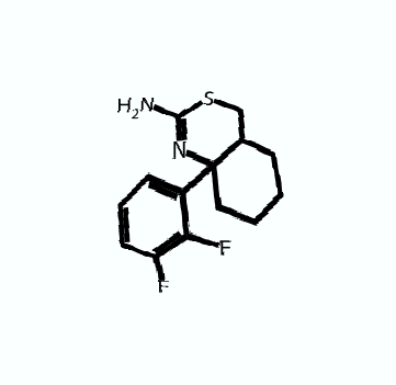 NC1=NC2(c3cccc(F)c3F)CCCCC2CS1